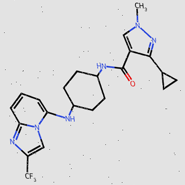 Cn1cc(C(=O)NC2CCC(Nc3cccc4nc(C(F)(F)F)cn34)CC2)c(C2CC2)n1